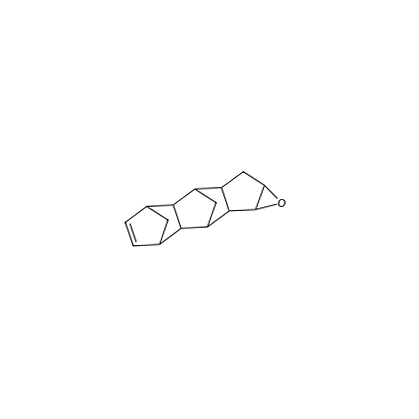 C1=CC2CC1C1C3CC(C4C3CC3OC34)C21